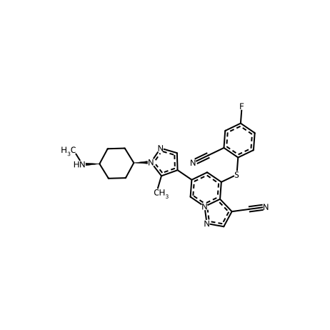 CN[C@H]1CC[C@@H](n2ncc(-c3cc(Sc4ccc(F)cc4C#N)c4c(C#N)cnn4c3)c2C)CC1